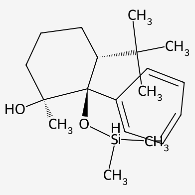 C[SiH](C)O[C@]1(c2ccccc2)[C@@H](C(C)(C)C)CCC[C@]1(C)O